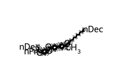 CCCCCCCCCCCCCCCCCCCCOC(C)c1ccc(-c2ccc(C(=O)Oc3ccc(OC(CCC)CCCCCCCCCCC)cc3)cc2)cc1